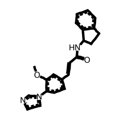 COc1cc(C=CC(=O)NC2CCc3ccccc32)ccc1-n1ccnc1